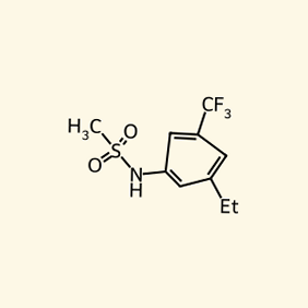 CCc1cc(NS(C)(=O)=O)cc(C(F)(F)F)c1